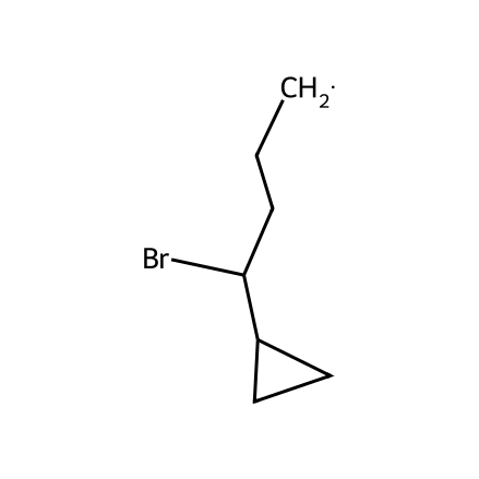 [CH2]CCC(Br)C1CC1